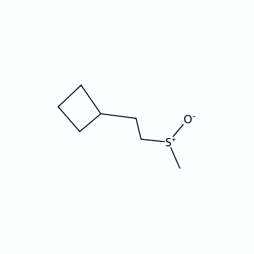 C[S+]([O-])CCC1CCC1